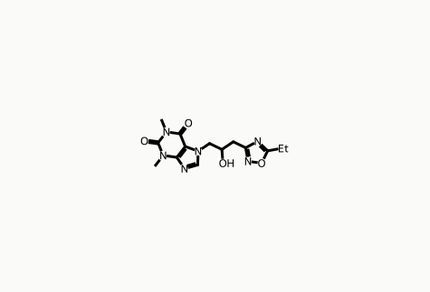 CCc1nc(CC(O)Cn2cnc3c2c(=O)n(C)c(=O)n3C)no1